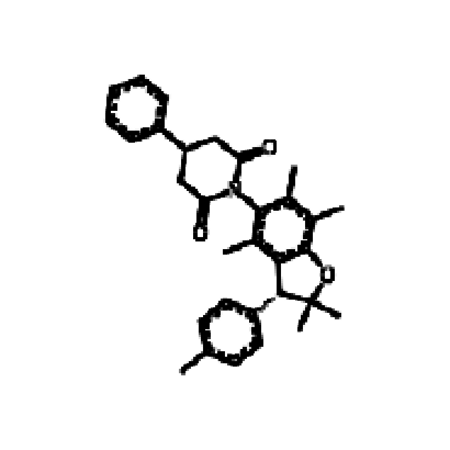 Cc1ccc([C@@H]2c3c(C)c(N4C(=O)CC(c5ccccc5)CC4=O)c(C)c(C)c3OC2(C)C)cc1